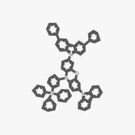 c1ccc(-c2ccc3c(c2)c2cc(-c4ccccc4)ccc2n3-c2ccc3c(c2)Oc2cc(-n4c5ccccc5c5ccccc54)ccc2N3c2cccc([Si](c3ccccc3)(c3ccccc3)c3ccccc3)c2)cc1